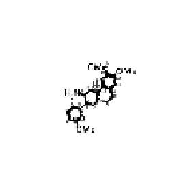 COc1cccc([C@H]2CN3CCc4cc(OC)c(OC)cc4[C@@H]3C[C@@H]2N)n1